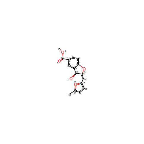 COC(=O)c1ccc2c(c1)C(=O)C(=Cc1ccc(C)o1)O2